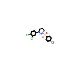 O=S(=O)(c1ccc(Cl)cc1)N1CCCC(c2ccc(Cl)c(Cl)c2)=N1